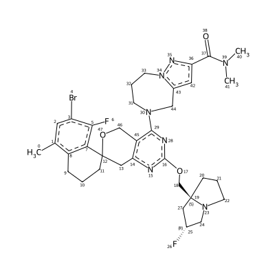 Cc1cc(Br)c(F)c2c1CCCC21Cc2nc(OC[C@@]34CCCN3C[C@H](F)C4)nc(N3CCCn4nc(C(=O)N(C)C)cc4C3)c2CO1